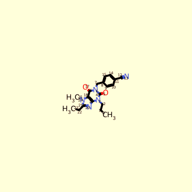 CCCn1c(=O)n(Cc2ccc(C#N)cc2)c(=O)c2c1nc(CC)n2C